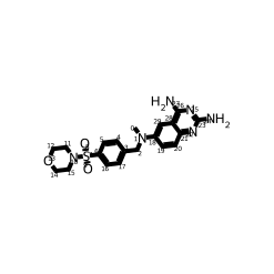 CN(Cc1ccc(S(=O)(=O)N2CCOCC2)cc1)c1ccc2nc(N)nc(N)c2c1